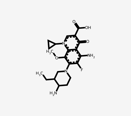 CCC1CN(c2c(F)c(N)c3c(=O)c(C(=O)O)cn(C4CC4)c3c2OC)CCC1N